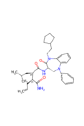 C=CC[C@H](C(N)=O)[C@@H](CC(C)C)C(=O)NC1CN(c2ccccc2)c2ccccc2N(CCC2CCCC2)C1=O